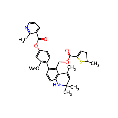 COc1cc(OC(=O)c2cccnc2C)ccc1-c1ccc2c(c1COC(=O)C1=CCC(C)S1)C(C)=CC(C)(C)N2